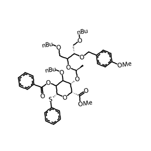 CCCCOCC(O[C@@H](C)O[C@H]1C(OCCCC)C(OC(=O)c2ccccc2)[C@@H](Sc2ccccc2)O[C@H]1C(=O)OC)[C@H](COCCCC)OCc1ccc(OC)cc1